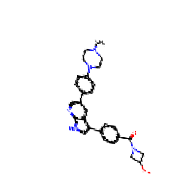 CN1CCN(c2ccc(-c3cnc4[nH]cc(-c5ccc(C(=O)N6CC(O)C6)cc5)c4c3)cc2)CC1